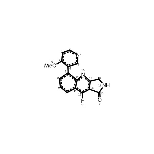 COc1ccncc1-c1cccc2c(F)c3c(nc12)CNC3=O